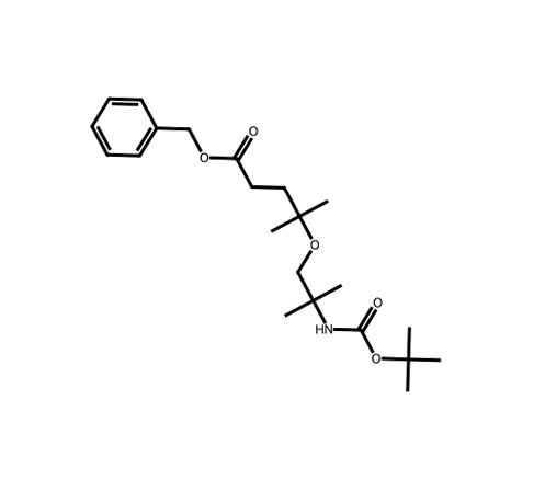 CC(C)(COC(C)(C)CCC(=O)OCc1ccccc1)NC(=O)OC(C)(C)C